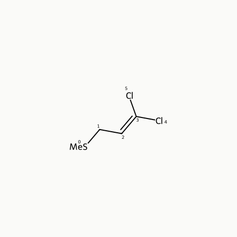 [CH2]SCC=C(Cl)Cl